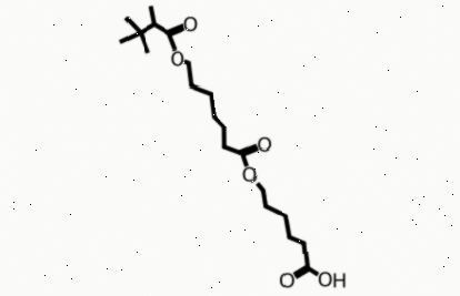 CC(C(=O)OCCCCCCC(=O)OCCCCCC(=O)O)C(C)(C)C